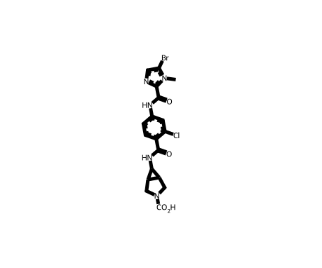 Cn1c(Br)cnc1C(=O)Nc1ccc(C(=O)NC2C3CN(C(=O)O)CC32)c(Cl)c1